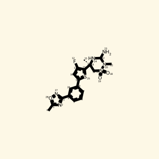 Cc1nc(-c2cccc(-c3cc(F)c([C@]4(C)CS(=O)(=O)N(C)C(N)N4)s3)c2)no1